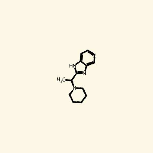 CC(c1nc2ccccc2[nH]1)N1CC[CH]CC1